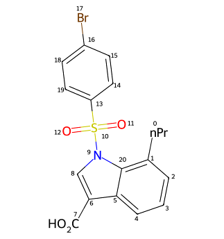 CCCc1cccc2c(C(=O)O)cn(S(=O)(=O)c3ccc(Br)cc3)c12